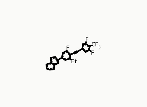 CCc1cc(-c2ccc3ccccc3c2)cc(F)c1C#Cc1cc(F)c(C(F)(F)F)c(F)c1